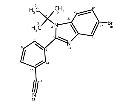 CC(C)(C)n1c(-c2cccc(C#N)c2)nc2cc(Br)ccc21